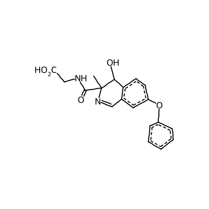 CC1(C(=O)NCC(=O)O)N=Cc2cc(Oc3ccccc3)ccc2C1O